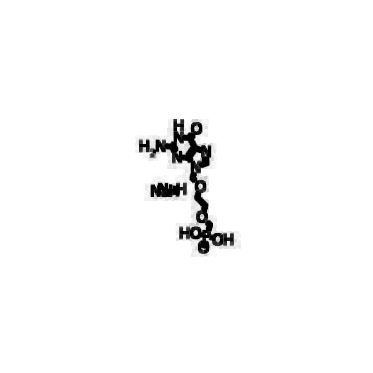 Nc1nc2c(ncn2COCCOCP(=O)(O)O)c(=O)[nH]1.[NaH].[NaH]